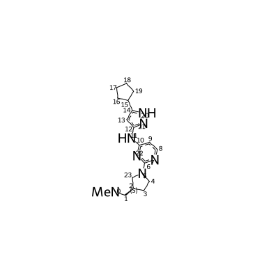 CNC[C@@H]1CCN(c2nccc(Nc3cc(C4CCCC4)[nH]n3)n2)C1